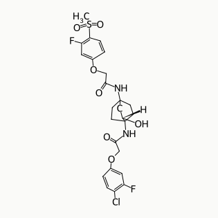 CS(=O)(=O)c1ccc(OCC(=O)NC23CCC(NC(=O)COc4ccc(Cl)c(F)c4)(CC2)[C@@H](O)C3)cc1F